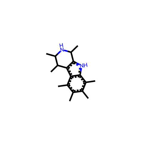 Cc1c(C)c(C)c2c3c([nH]c2c1C)C(C)NC(C)C3C